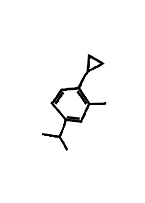 [CH2]C(C)c1ccc(C2CC2)c(C)c1